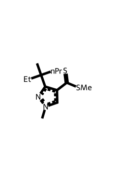 CCCC(C)(CC)c1nn(C)cc1C(=S)SC